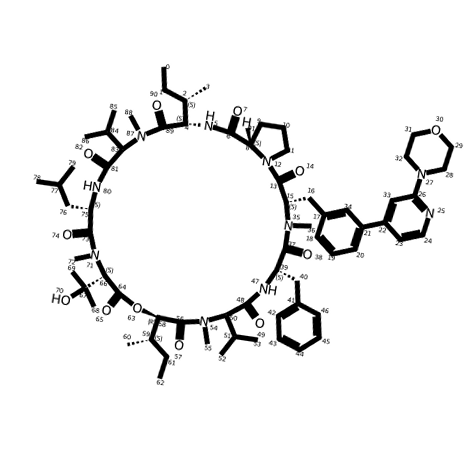 CC[C@H](C)[C@@H]1NC(=O)[C@@H]2CCCN2C(=O)[C@H](Cc2cccc(-c3ccnc(N4CCOCC4)c3)c2)N(C)C(=O)[C@H](Cc2ccccc2)NC(=O)C(C(C)C)N(C)C(=O)[C@@H]([C@@H](C)CC)OC(=O)[C@H](C(C)(C)O)N(C)C(=O)[C@H](CC(C)C)NC(=O)C(C(C)C)N(C)C1=O